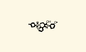 COc1cccc(-n2nc3c(c2O)CCN(S(=O)(=O)c2ccc(C)cc2)c2ncccc2-3)c1